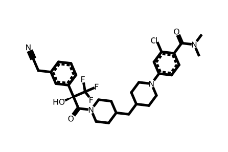 CN(C)C(=O)c1ccc(N2CCC(CC3CCN(C(=O)[C@](O)(c4cccc(CC#N)c4)C(F)(F)F)CC3)CC2)cc1Cl